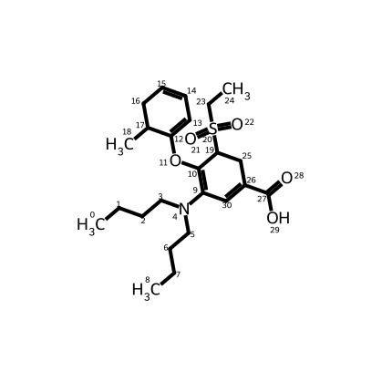 CCCCN(CCCC)C1=C(OC2=CC=CCC2C)C(S(=O)(=O)CC)CC(C(=O)O)=C1